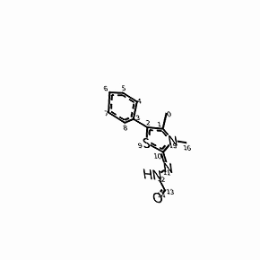 Cc1c(-c2ccccc2)sc(=NNC=O)n1C